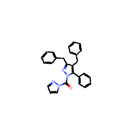 O=C(n1cccn1)n1nc(Cc2ccccc2)c(Cc2ccccc2)c1-c1ccccc1